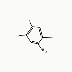 Nc1cc(I)c(I)cc1I